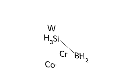 B[SiH3].[Co].[Cr].[W]